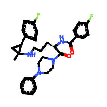 C[C@@]1(NCCC[C@H](NC(=O)c2ccc(F)cc2)C(=O)N2CCN(c3ccccc3)CC2)C[C@H]1c1ccc(F)cc1